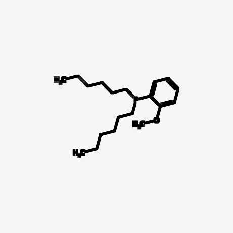 CCCCCCP(CCCCCC)c1ccccc1OC